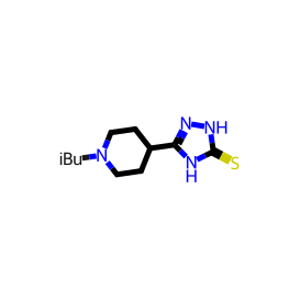 CCC(C)N1CCC(c2n[nH]c(=S)[nH]2)CC1